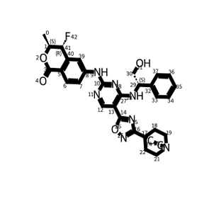 C[C@@H]1OC(=O)c2ccc(Nc3ncc(-c4nc(C56CCN(CC5)CC6)no4)c(N[C@H](CO)c4ccccc4)n3)cc2[C@H]1F